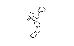 Cc1ccccc1N1CCN(C(Cc2ccccc2)N2CCCCS2(=O)=O)CC1